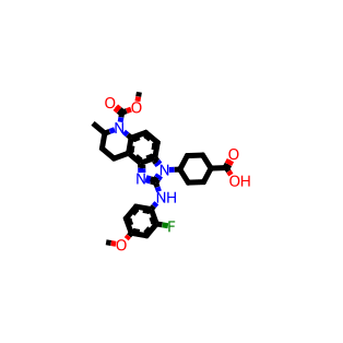 COC(=O)N1c2ccc3c(nc(Nc4ccc(OC)cc4F)n3C3CCC(C(=O)O)CC3)c2CCC1C